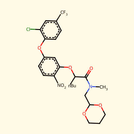 CCCCC(Oc1cc(Oc2ccc(C(F)(F)F)cc2Cl)ccc1[N+](=O)[O-])C(=O)N(C)CC1OCCCO1